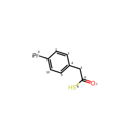 CC(C)c1ccc(CC(=O)S)cc1